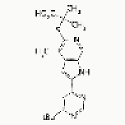 Cc1c(SC(C)(C)C(=O)O)ncc2[nH]c(-c3cc(C(C)(C)C)ncn3)cc12